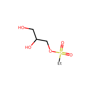 CCS(=O)(=O)OCC(O)CO